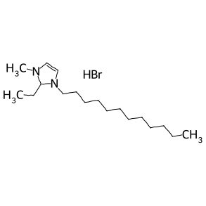 Br.CCCCCCCCCCCCN1C=CN(C)C1CC